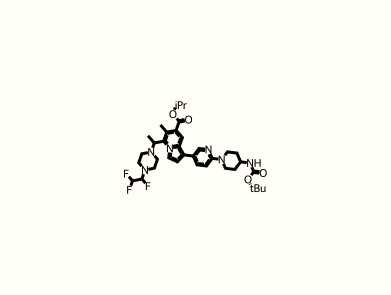 Cc1c(C(=O)OC(C)C)cc2c(-c3ccc(N4CCC(NC(=O)OC(C)(C)C)CC4)nc3)ccn2c1C(C)N1CCN(C(F)C(F)F)CC1